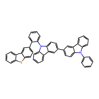 c1ccc(-n2c3ccccc3c3cc(-c4ccc5c(c4)c4ccccc4n5-c4ccccc4-c4ccc5sc6ccccc6c5c4)ccc32)cc1